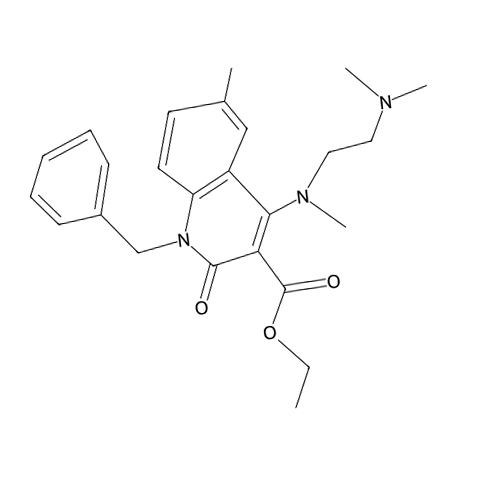 CCOC(=O)c1c(N(C)CCN(C)C)c2cc(C)ccc2n(Cc2ccccc2)c1=O